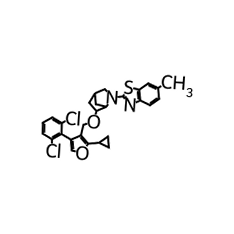 Cc1ccc2nc(N3CC4CC(OCc5c(-c6c(Cl)cccc6Cl)coc5C5CC5)C3C4)sc2c1